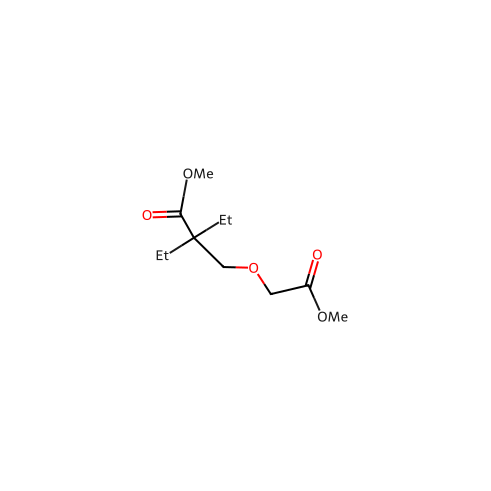 CCC(CC)(COCC(=O)OC)C(=O)OC